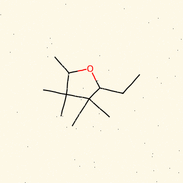 CCC1OC(C)C(C)(C)C1(C)C